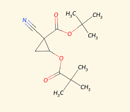 CC(C)(C)OC(=O)C1(C#N)CC1OC(=O)C(C)(C)C